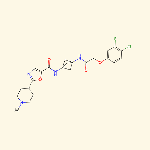 CC(=O)N1CCC(c2ncc(C(=O)NC34CC(NC(=O)COc5ccc(Cl)c(F)c5)(C3)C4)o2)CC1